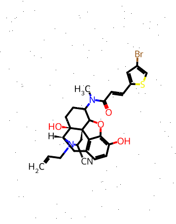 C=CCN1C(C#N)C[C@]23c4c5ccc(O)c4OC2C(N(C)C(=O)/C=C/c2cc(Br)cs2)CC[C@@]3(O)[C@H]1C5